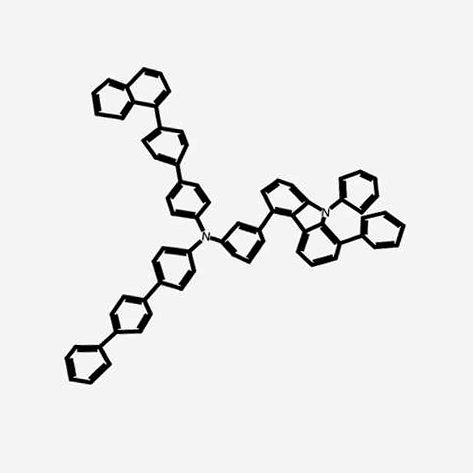 c1ccc(-c2ccc(-c3ccc(N(c4ccc(-c5ccc(-c6cccc7ccccc67)cc5)cc4)c4cccc(-c5cccc6c5c5cccc(-c7ccccc7)c5n6-c5ccccc5)c4)cc3)cc2)cc1